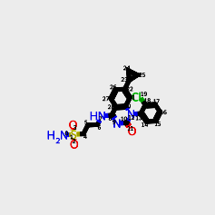 NS(=O)(=O)CCCNc1nc(=O)n(-c2ccccc2Cl)c2cc(C3CC3)ccc12